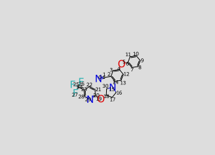 N#Cc1cc(Oc2ccccc2)ccc1N1CC[C@H](Oc2ccc(C(F)(F)F)cn2)C1